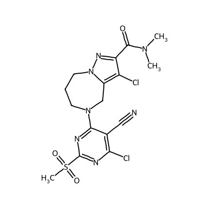 CN(C)C(=O)c1nn2c(c1Cl)CN(c1nc(S(C)(=O)=O)nc(Cl)c1C#N)CCC2